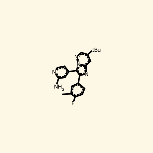 Cc1cc(-c2nc3cc(C(C)(C)C)cnn3c2-c2ccnc(N)c2)ccc1F